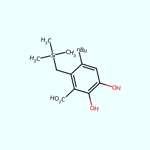 CCCCc1cc(O)c(O)c(C(=O)O)c1C[Si](C)(C)C